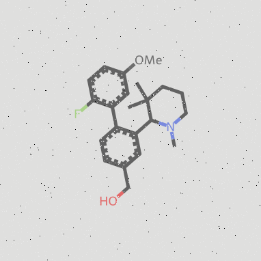 COc1ccc(F)c(-c2ccc(CO)cc2C2N(C)CCCC2(C)C)c1